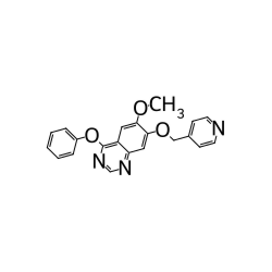 COc1cc2c(Oc3ccccc3)ncnc2cc1OCc1ccncc1